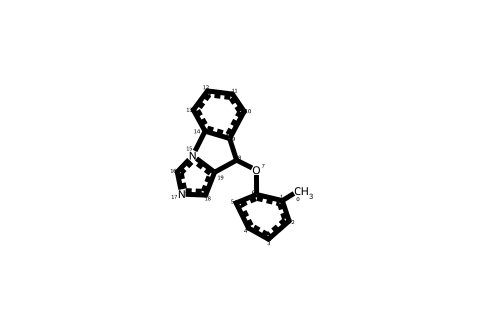 Cc1ccccc1OC1c2ccccc2-n2cncc21